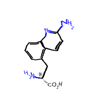 Nc1ccc2c(C[C@@H](N)C(=O)O)cccc2n1